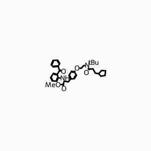 COC(=O)C(Cc1ccc(OCCN(C(=O)CCC2CCCC2)C(C)(C)C)cc1)Nc1ccccc1C(=O)c1ccccc1